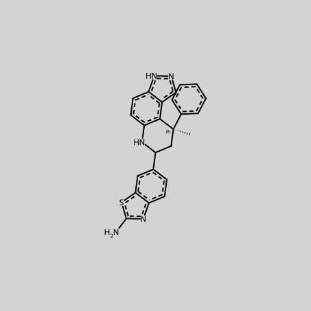 C[C@]1(c2ccccc2)CC(c2ccc3nc(N)sc3c2)Nc2ccc3[nH]ncc3c21